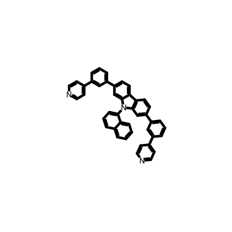 c1cc(-c2ccncc2)cc(-c2ccc3c4ccc(-c5cccc(-c6ccncc6)c5)cc4n(-c4cccc5ccccc45)c3c2)c1